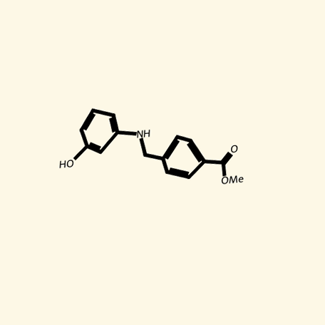 COC(=O)c1ccc(CNc2cccc(O)c2)cc1